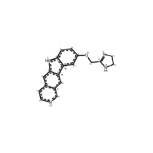 c1cc2cc3[nH]c4ccc(OCC5=NCCN5)cc4c3cc2cn1